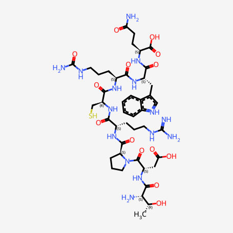 C[C@@H](O)[C@H](N)C(=O)N[C@@H](CC(=O)O)C(=O)N1CCC[C@H]1C(=O)N[C@@H](CCCNC(=N)N)C(=O)N[C@@H](CS)C(=O)N[C@@H](CCCNC(N)=O)C(=O)N[C@@H](Cc1c[nH]c2ccccc12)C(=O)N[C@@H](CCC(N)=O)C(=O)O